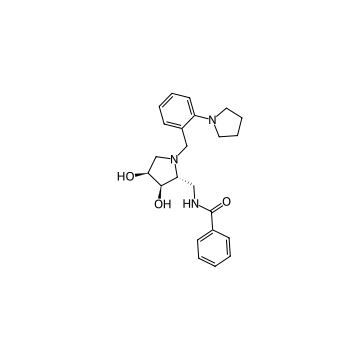 O=C(NC[C@@H]1[C@@H](O)[C@@H](O)CN1Cc1ccccc1N1CCCC1)c1ccccc1